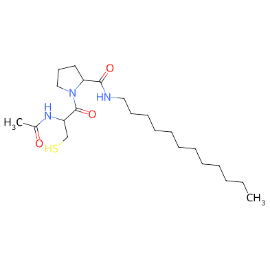 CCCCCCCCCCCCNC(=O)C1CCCN1C(=O)C(CS)NC(C)=O